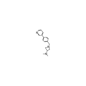 CN(C)C1CN(Cc2ccc(-c3cccnc3)cc2)C1